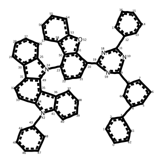 c1ccc(-c2cccc(-c3nc(-c4ccccc4)nc(-c4ccc(-n5c6ccccc6c6ccc7c(c8ccccc8n7-c7ccccc7)c65)c5c4oc4ccccc45)n3)c2)cc1